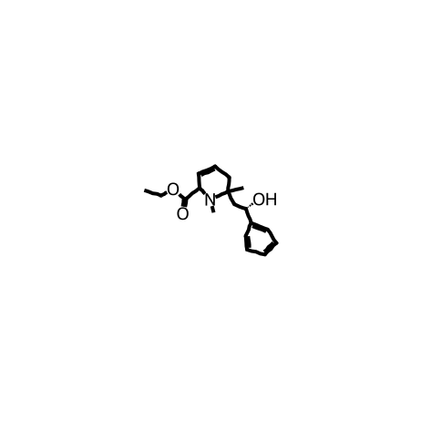 CCOC(=O)C1C=CCC(C)(C[C@H](O)c2ccccc2)N1C